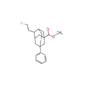 COC(=O)C12CC3CC(c4ccccc4)(CC(C1)C3CCF)C2